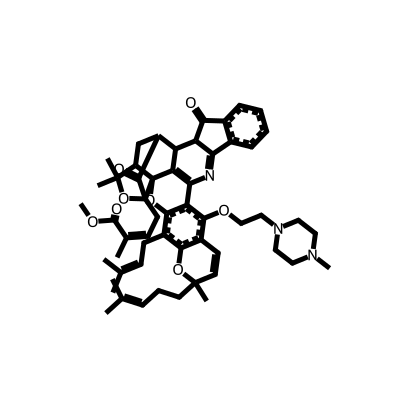 COC(=O)/C(C)=C\CC12OC(C)(C)C3CC(C1=O)C1C4=C(N=C5c6ccccc6C(=O)C51)c1c(OCCN5CCN(C)CC5)c5c(c(CC=C(C)C)c1OC432)OC(C)(CCC=C(C)C)C=C5